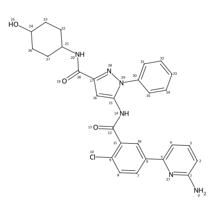 Nc1cccc(-c2ccc(Cl)c(C(=O)Nc3cc(C(=O)NC4CCC(O)CC4)nn3-c3ccccc3)c2)n1